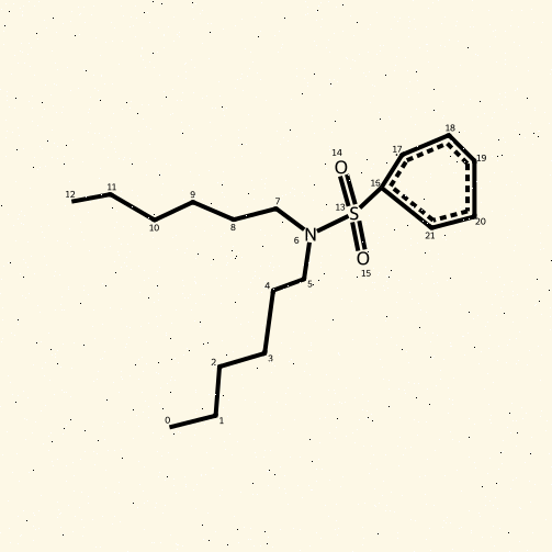 CCCCCCN(CCCCCC)S(=O)(=O)c1[c]cccc1